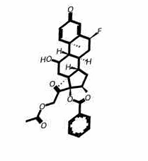 CC(=O)OCC(=O)[C@@]1(OC(=O)c2ccccc2)[C@H](C)C[C@H]2[C@@H]3C[C@H](F)C4=CC(=O)C=C[C@]4(C)[C@H]3C(O)C[C@@]21C